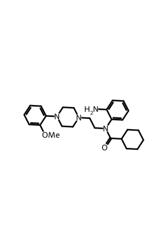 COc1ccccc1N1CCN(CCN(C(=O)C2CCCCC2)c2ccccc2N)CC1